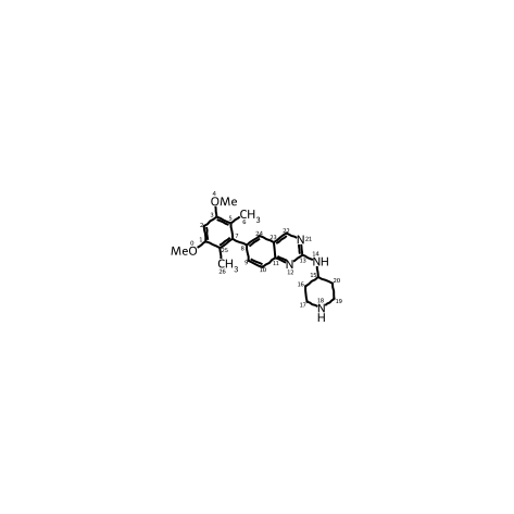 COc1cc(OC)c(C)c(-c2ccc3nc(NC4CCNCC4)ncc3c2)c1C